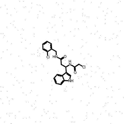 O=C(CC(NC(=O)CCl)c1c[nH]c2ccccc12)NCc1ccccc1Cl